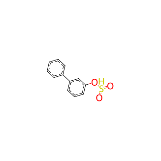 O=[SH](=O)Oc1cccc(-c2ccccc2)c1